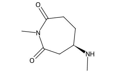 CN[C@@H]1CCC(=O)N(C)C(=O)C1